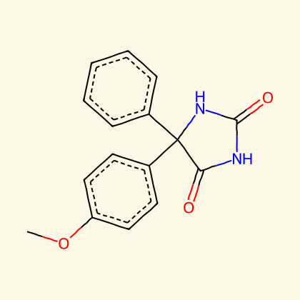 COc1ccc(C2(c3ccccc3)NC(=O)NC2=O)cc1